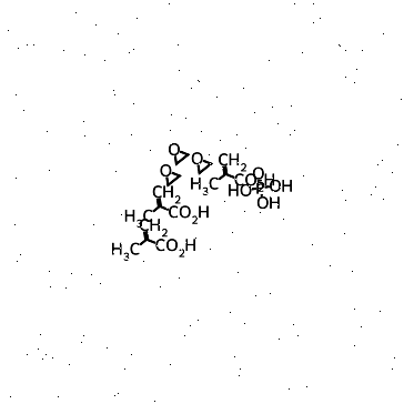 C1CO1.C1CO1.C1CO1.C=C(C)C(=O)O.C=C(C)C(=O)O.C=C(C)C(=O)O.O=P(O)(O)O